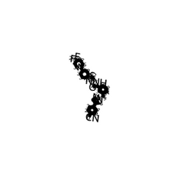 N#Cc1ccc(-c2cnn(Cc3cccc(C(=O)Nc4nc5c(s4)CC(N4CCC(F)(F)CC4)CC5)c3)c2)cc1